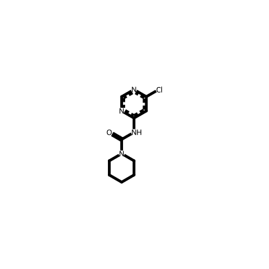 O=C(Nc1cc(Cl)ncn1)N1CCCCC1